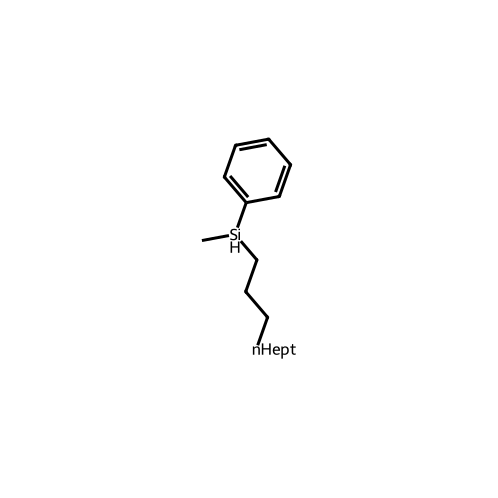 CCCCCCCCCC[SiH](C)c1ccccc1